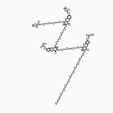 COCCOCCOCCOCCOCCOCCOCCOCCOCCOCCOCCOCCNC(=O)C(Cc1ccc(OCC(=O)O)cc1)NC(=O)CCOCCOCCOCCOCCNC(=O)C(Cc1ccc(OCC(=O)O)cc1)NC(=O)CCOCCOCCOCCOCCNC(=O)C(Cc1ccc(OCC(=O)OC(C)(C)C)cc1)NC(=O)CCOCCOCCOCCOCCNC(=O)OC(C)(C)C